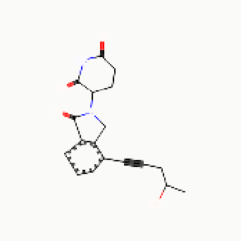 CC(O)CC#Cc1cccc2c1CN(C1CCC(=O)NC1=O)C2=O